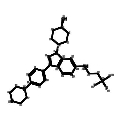 O[C@H]1CC[C@H](n2nc(-c3ccc(N4CCOCC4)cc3)c3cnc(NCCC(F)(F)F)nc32)CC1